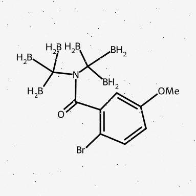 BC(B)(B)N(C(=O)c1cc(OC)ccc1Br)C(B)(B)B